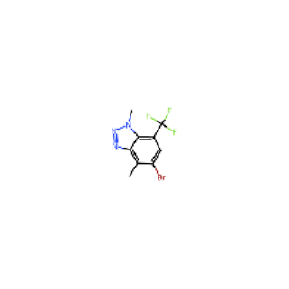 Cc1c(Br)cc(C(F)(F)F)c2c1nnn2C